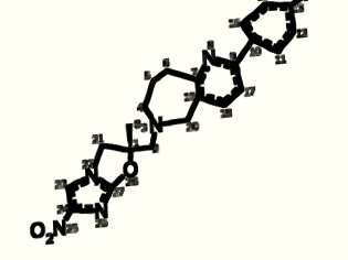 C[C@]1(CN2CCCc3nc(-c4ccc(F)cc4)ccc3C2)Cn2cc([N+](=O)[O-])nc2O1